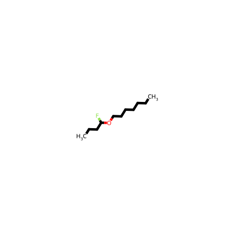 CCCCCCCOC(F)CCC